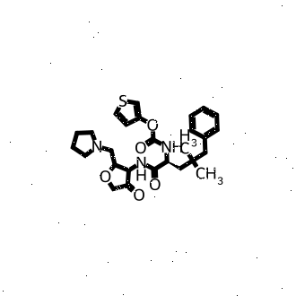 CC(C)(Cc1ccccc1)C[C@H](NC(=O)Oc1ccsc1)C(=O)NC1C(=O)COC1CN1CCCC1